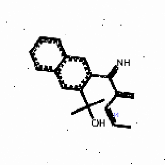 C=C(/C=C\C)C(=N)c1cc2ccccc2cc1C(C)(C)O